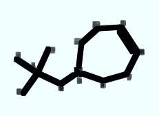 CC(C)(C)CN1CCC=CCC1